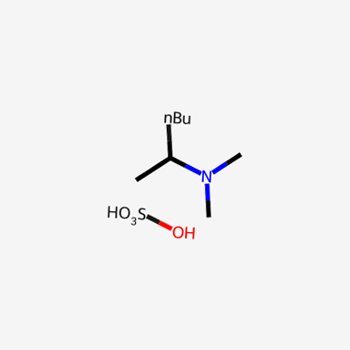 CCCCC(C)N(C)C.O=S(=O)(O)O